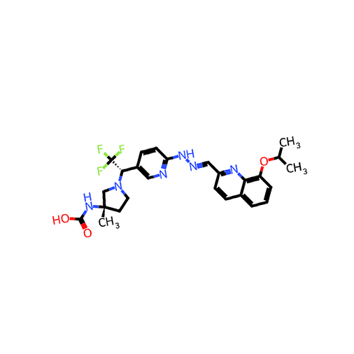 CC(C)Oc1cccc2ccc(/C=N/Nc3ccc([C@H](N4CC[C@](C)(NC(=O)O)C4)C(F)(F)F)cn3)nc12